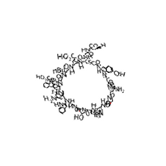 C#CC[C@H](NC(=O)CNC(=O)[C@@H]1CSCC(=O)N[C@@H](Cc2ccc(O)cc2)C(=O)N(C)[C@@H](C)C(=O)N[C@@H](CC(N)=O)C(=O)N2CCC[C@H]2C(=O)N[C@@H](CN)C(=O)N[C@@H](CC(C)C)C(=O)N2C[C@H](O)C[C@H]2C(=O)N[C@@H](Cc2c[nH]c3ccccc23)C(=O)N[C@@H](CCN)C(=O)N[C@@H](Cc2cn(CC(=O)O)c3ccccc23)C(=O)N(C)[C@@H](CCCC)C(=O)N(C)[C@@H](CCCC)C(=O)N[C@@H](CCC(=O)O)C(=O)N1)C(=O)O